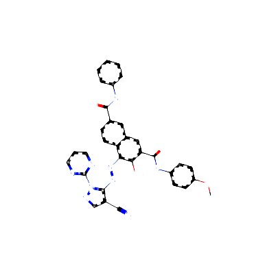 COc1ccc(NC(=O)c2cc3cc(C(=O)Nc4ccccc4)ccc3c(/N=N/c3c(C#N)cnn3-c3ncccn3)c2O)cc1